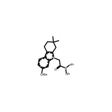 CCCN(CCC)C(=O)Cn1c2c(c3ccc(OC)cc31)CCC(C)(C)C2